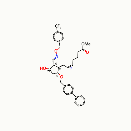 COC(=O)CCC/C=C\C[C@@H]1[C@@H](C=NOCc2ccc(C(F)(F)F)cc2)[C@H](O)C[C@@H]1OCc1ccc(-c2ccccc2)cc1